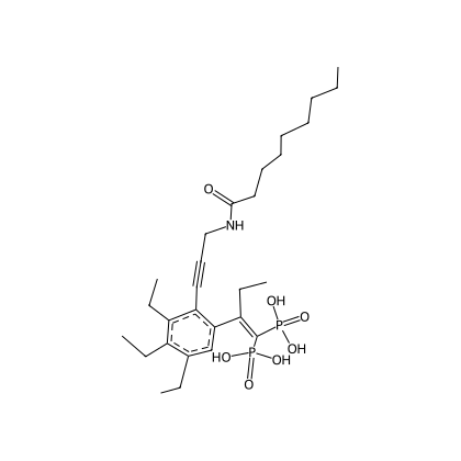 CCCCCCCCC(=O)NCC#Cc1c(C(CC)=C(P(=O)(O)O)P(=O)(O)O)cc(CC)c(CC)c1CC